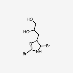 OCC(O)CN1N=C(Br)NC1Br